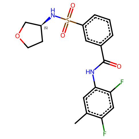 Cc1cc(NC(=O)c2cccc(S(=O)(=O)N[C@H]3CCOC3)c2)c(F)cc1F